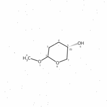 COC1CC[C@H](O)CO1